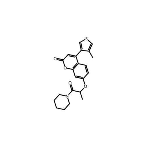 Cc1cscc1-c1cc(=O)oc2cc(OC(C)C(=O)N3CCCCC3)ccc12